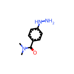 CN(C)C(=O)c1ccc(NN)cc1